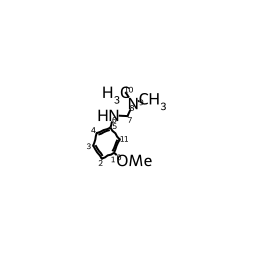 COc1cccc(NCN(C)C)c1